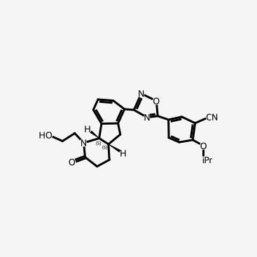 CC(C)Oc1ccc(-c2nc(-c3cccc4c3C[C@@H]3CCC(=O)N(CCO)[C@H]43)no2)cc1C#N